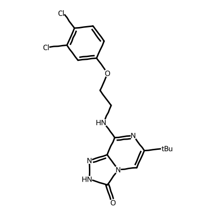 CC(C)(C)c1cn2c(=O)[nH]nc2c(NCCOc2ccc(Cl)c(Cl)c2)n1